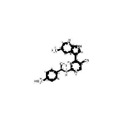 C[C@@H](Nc1ncc(C#N)c(-c2c[nH]c3ncc(C(F)(F)F)cc23)n1)c1ccc(C(=O)O)cc1